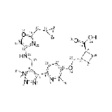 Cc1nc(-c2nnn(C)c2CNc2noc(CC3CC3)n2)ccc1OC[C@H]1CC[C@@H]1C(=O)O